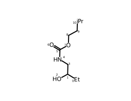 CCC(O)CNC(=O)OCCC(C)C